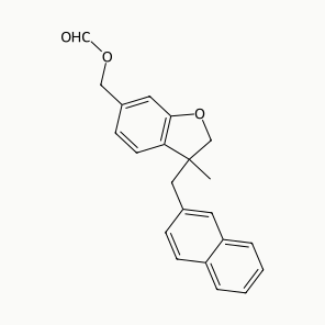 CC1(Cc2ccc3ccccc3c2)COc2cc(COC=O)ccc21